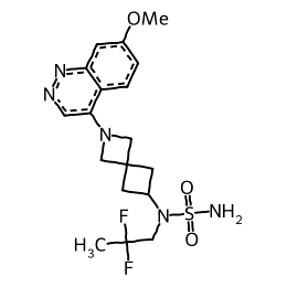 COc1ccc2c(N3CC4(CC(N(CC(C)(F)F)S(N)(=O)=O)C4)C3)cnnc2c1